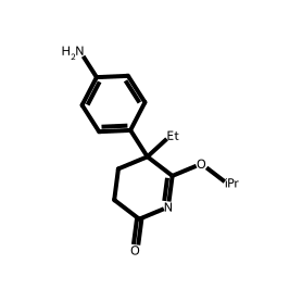 CCC1(c2ccc(N)cc2)CCC(=O)N=C1OC(C)C